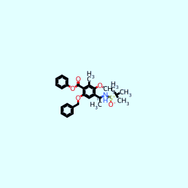 COc1c([C@H](C)N[S@@+]([O-])C(C)(C)C)cc(OCc2ccccc2)c(C(=O)Oc2ccccc2)c1C